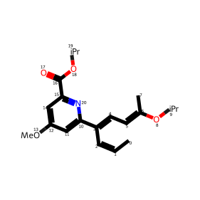 C\C=C/C(=C\C=C(/C)OC(C)C)c1cc(OC)cc(C(=O)OC(C)C)n1